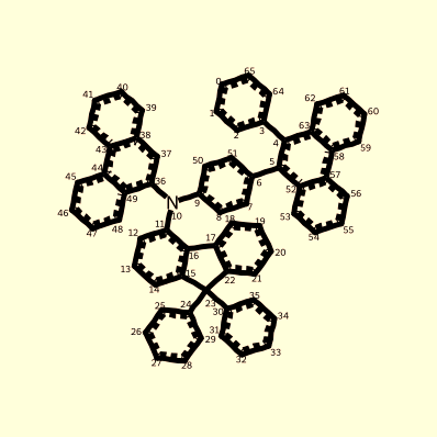 c1ccc(-c2c(-c3ccc(N(c4cccc5c4-c4ccccc4C5(c4ccccc4)c4ccccc4)c4cc5ccccc5c5ccccc45)cc3)c3ccccc3c3ccccc23)cc1